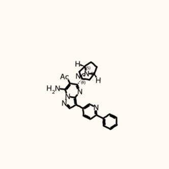 CC(=O)c1c([C@H]2C[C@H]3CC[C@@H](C2)N3C#N)nc2c(-c3ccc(-c4ccccc4)nc3)cnn2c1N